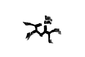 CC(O)C(=O)OC(C)C(=O)O.[CaH2].[CaH2]